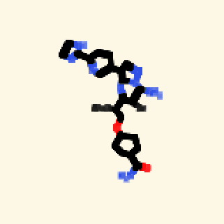 COC(COC1CCC(C(N)=O)CC1)c1nc2c(-c3ccc(-c4ncc[nH]4)nc3)cnn2c(N)c1C(C)=O